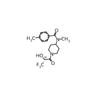 Cc1ccc(C(=O)N(C)C2CCN(C(=O)[C@@H](O)C(F)(F)F)CC2)cc1